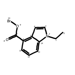 CCn1ccc2c(C(=O)OBr)cccc21